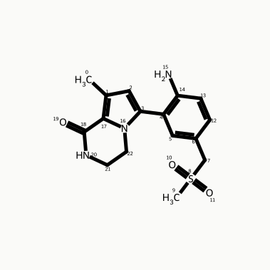 Cc1cc(-c2cc(CS(C)(=O)=O)ccc2N)n2c1C(=O)NCC2